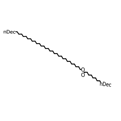 CCCCCCCCCCCCCCCCCCCCCCCCCCCCCCCCCCCCCCCCOC(=O)CCCCCCCCCCCCCCCCC